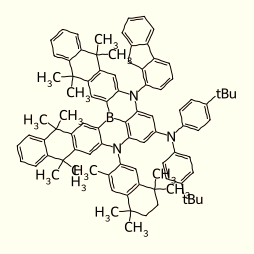 Cc1cc2c(cc1N1c3cc4c(cc3B3c5cc6c(cc5N(c5cccc7c5Cc5ccccc5-7)c5cc(N(c7ccc(C(C)(C)C)cc7)c7ccc(C(C)(C)C)cc7)cc1c53)C(C)(C)c1ccccc1C6(C)C)C(C)(C)c1ccccc1C4(C)C)C(C)(C)CCC2(C)C